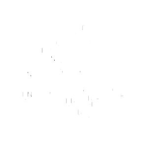 BC(B)(B)Oc1c(Oc2cc(Cl)c(C(F)F)c(OC)c2C(=O)Nc2ccnc(C(N)=O)c2)ccc(OC(F)(F)F)c1F